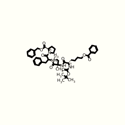 CC[C@@](C)(NC(=O)[C@H](CCCCOC(=O)c1ccccc1)NC(=O)OC(C)(C)C)C(=O)NC(Cc1ccccc1)C(=O)N1CCC[C@@H]1C(=O)OCc1ccccc1